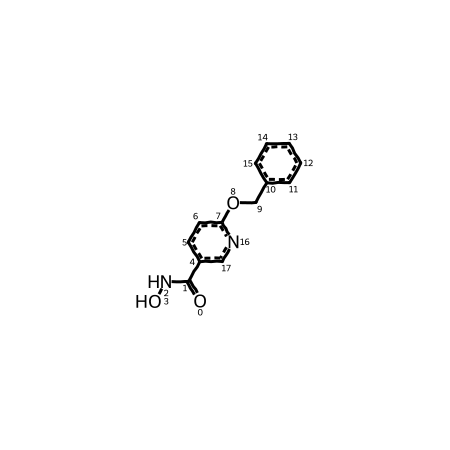 O=C(NO)c1ccc(OCc2ccccc2)nc1